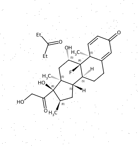 CCC(=O)CC.C[C@@H]1C[C@H]2[C@@H]3CCC4=CC(=O)C=C[C@]4(C)[C@@]3(F)[C@@H](O)C[C@]2(C)[C@@]1(O)C(=O)CO